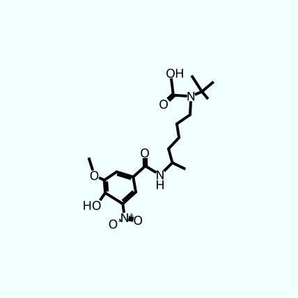 COc1cc(C(=O)NC(C)CCCCN(C(=O)O)C(C)(C)C)cc([N+](=O)[O-])c1O